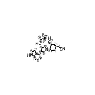 Cc1cc(CC#N)ccc1-n1cc(-c2ncnc3[nH]ccc23)cn1.O=C(O)C(F)(F)F